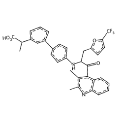 Cc1nc2ccccc2c(C(=O)C(Cc2ccc(C(F)(F)F)o2)Nc2ccc(-c3cccc(C(C)C(=O)O)c3)cc2)c1C